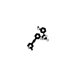 COc1cccc([C@H]2OC(=O)N[C@@H]2c2cccc(C#Cc3ccnc(C)c3)c2)c1